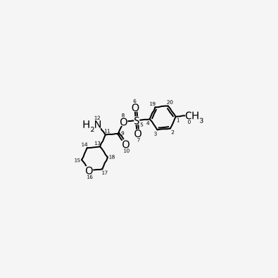 Cc1ccc(S(=O)(=O)OC(=O)C(N)C2CCOCC2)cc1